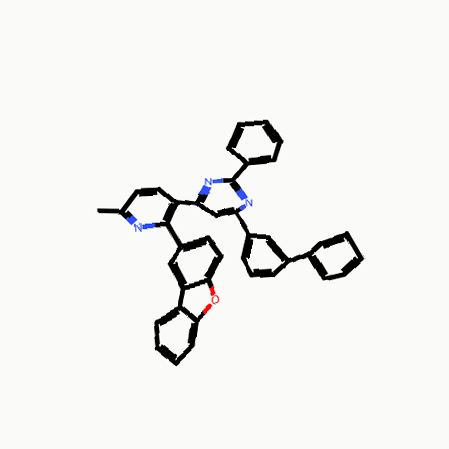 Cc1ccc(-c2cc(-c3cccc(-c4ccccc4)c3)nc(-c3ccccc3)n2)c(-c2ccc3oc4ccccc4c3c2)n1